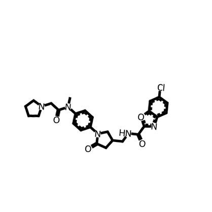 CN(C(=O)CN1CCCC1)c1ccc(N2CC(CNC(=O)c3nc4ccc(Cl)cc4o3)CC2=O)cc1